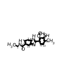 CCNC(=O)c1ccc2[nH]c(-c3ccc(C)c(S)c3OC)nc2c1